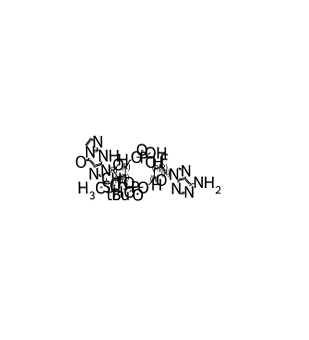 CC(C)(C)[Si](C)(C)O[C@@H]1[C@@H]2OP(=O)(O)OC[C@H]3O[C@@H](n4cnc5c(N)ncnc54)[C@H](F)[C@@H]3OP(=O)(O)OC[C@H]2O[C@H]1n1cnc2c(=O)n3ccnc3[nH]c21